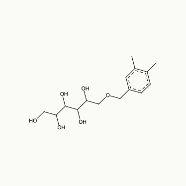 Cc1ccc(COCC(O)C(O)C(O)C(O)CO)cc1C